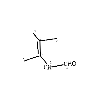 CC(C)=C(C)NC=O